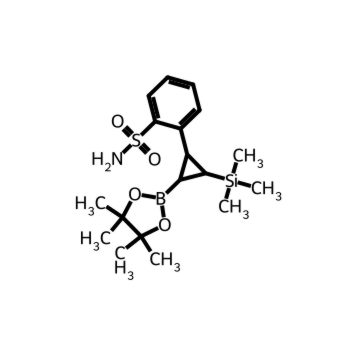 CC1(C)OB(C2C(c3ccccc3S(N)(=O)=O)C2[Si](C)(C)C)OC1(C)C